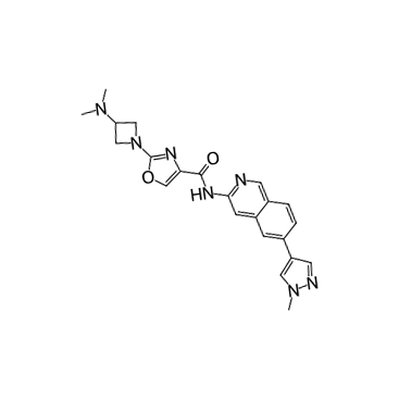 CN(C)C1CN(c2nc(C(=O)Nc3cc4cc(-c5cnn(C)c5)ccc4cn3)co2)C1